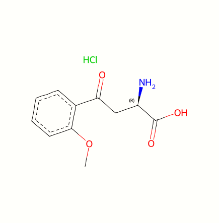 COc1ccccc1C(=O)C[C@@H](N)C(=O)O.Cl